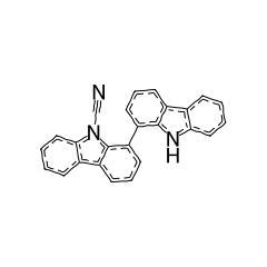 N#Cn1c2ccccc2c2cccc(-c3cccc4c3[nH]c3ccccc34)c21